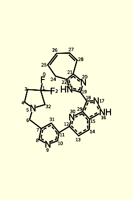 FC1(F)CCN(Cc2cncc(-c3ccc4[nH]nc(-c5nc6c([nH]5)CC=CC=C6)c4n3)c2)C1